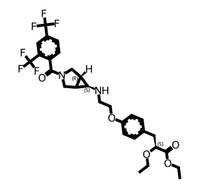 CCOC(=O)[C@H](Cc1ccc(OCCN[C@H]2C3CN(C(=O)c4ccc(C(F)(F)F)cc4C(F)(F)F)C[C@@H]32)cc1)OCC